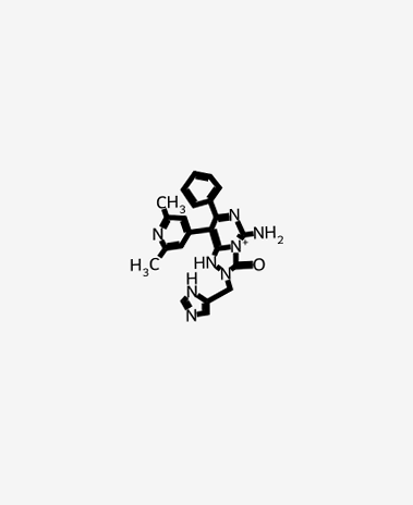 Cc1cc(-c2c(-c3ccccc3)nc(N)[n+]3c(=O)n(Cc4cnc[nH]4)[nH]c23)cc(C)n1